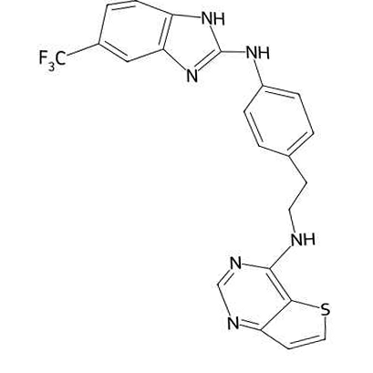 FC(F)(F)c1ccc2[nH]c(Nc3ccc(CCNc4ncnc5ccsc45)cc3)nc2c1